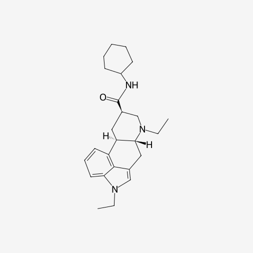 CCN1C[C@H](C(=O)NC2CCCCC2)C[C@@H]2c3cccc4c3c(cn4CC)C[C@H]21